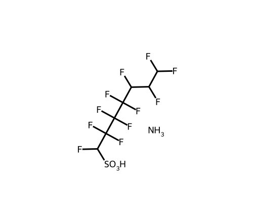 N.O=S(=O)(O)C(F)C(F)(F)C(F)(F)C(F)(F)C(F)C(F)C(F)F